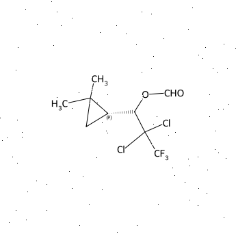 CC1(C)C[C@H]1C(OC=O)C(Cl)(Cl)C(F)(F)F